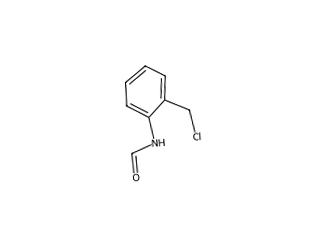 O=CNc1ccccc1CCl